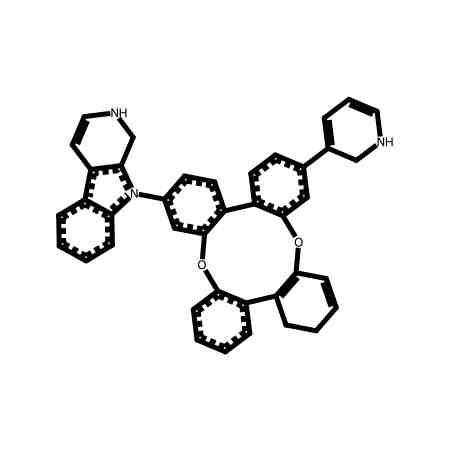 C1=CNCC(c2ccc3c(c2)OC2=C(CCC=C2)c2ccccc2Oc2cc(-n4c5c(c6ccccc64)C=CNC5)ccc2-3)=C1